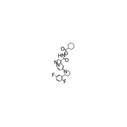 O=C(NOC(=O)C1CCCCC1)c1cnn2ccc(N3CCCC3c3cc(F)ccc3F)cc12